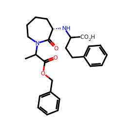 CC(C(=O)OCc1ccccc1)N1CCCC[C@H](NC(CCc2ccccc2)C(=O)O)C1=O